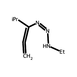 C=C=C(/N=N\NCC)C(C)C